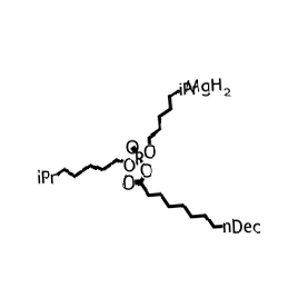 CCCCCCCCCCCCCCCCCC(=O)OP(=O)(OCCCCCC(C)C)OCCCCCC(C)C.[MgH2]